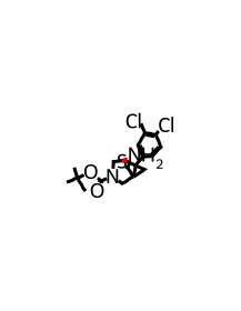 CC(C)(C)OC(=O)N1CCC2(c3ccc(Cl)c(Cl)c3)CC2(C(N)=S)C1